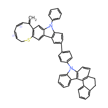 C=C1/C=C\C=C/CSc2cc3c4cc(-c5ccc(-n6c7ccccc7c7c8c(ccc76)CCc6ccccc6-8)cc5)ccc4n(-c4ccccc4)c3cc21